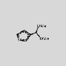 COC(OC)c1ccsc1